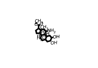 COC(=O)C1CC[C@H]2[C@@H]3CCC4CC(O)C(O)C[C@]4(C)[C@@H]3C(N)C[C@]12C